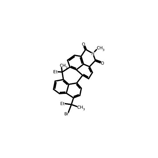 CCC(C)(Br)c1ccc2c3c(cccc13)C(C)(CC)c1ccc3c4c(ccc-2c14)C(=O)N(C)C3=O